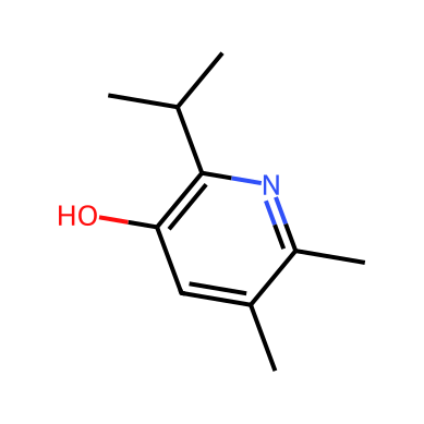 Cc1cc(O)c(C(C)C)nc1C